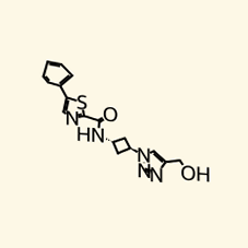 O=C(N[C@H]1C[C@H](n2cc(CO)nn2)C1)c1ncc(-c2ccccc2)s1